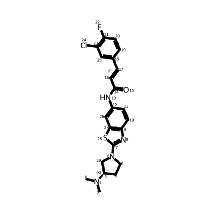 CN(C)[C@@H]1CCN(c2nc3ccc(NC(=O)/C=C/c4ccc(F)c(Cl)c4)cc3s2)C1